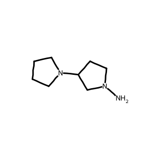 NN1CCC(N2CCCC2)C1